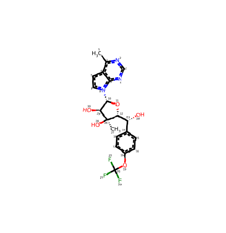 Cc1ncnc2c1ccn2[C@@H]1O[C@H]([C@H](O)c2ccc(OC(F)(F)F)cc2)[C@@](C)(O)[C@H]1O